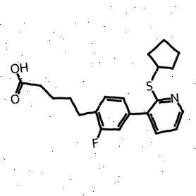 O=C(O)CCCCc1ccc(-c2cccnc2SC2CCCC2)cc1F